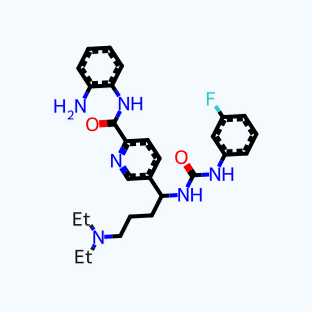 CCN(CC)CCCC(NC(=O)Nc1cccc(F)c1)c1ccc(C(=O)Nc2ccccc2N)nc1